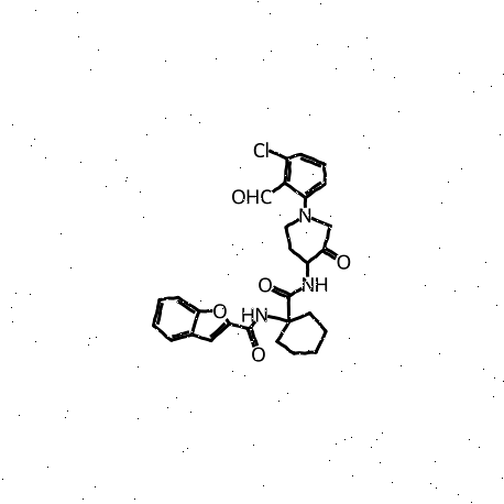 O=Cc1c(Cl)cccc1N1CCC(NC(=O)C2(NC(=O)c3cc4ccccc4o3)CCCCC2)C(=O)C1